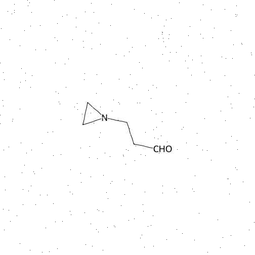 O=CCCN1CC1